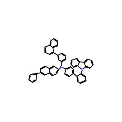 c1ccc(-c2ccc3cc(N(c4ccc(-c5ccccc5-n5c6ccccc6c6ccccc65)cc4)c4cccc(-c5cccc6ccccc56)c4)ccc3c2)cc1